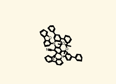 CC1(C)OC(C)(C)c2c(N(c3ccc(-c4ccccc4)cc3)c3cccc4c3oc3ccccc34)c(C#N)c(C#N)c(N(c3cc(-c4ccccc4)cc(-c4ccccc4)c3)c3cccc4c3oc3ccccc34)c2C(C)(C)O1